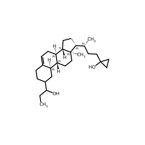 CCC(O)C1CCC2=CC[C@@H]3[C@H](CC[C@]4(C)[C@@H]([C@H](C)CCC5(O)CC5)CC[C@@H]34)[C@H]2C1